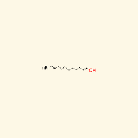 CCCC=CCCCCCCCC=CO